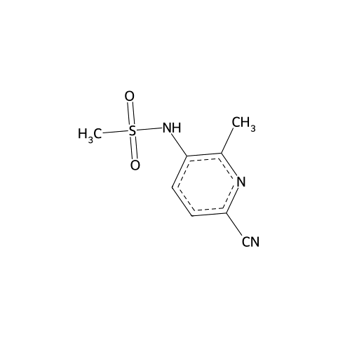 Cc1nc(C#N)ccc1NS(C)(=O)=O